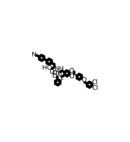 N#Cc1ccc(-c2ccc(CC(NC(=O)[C@@H]3Cc4cc5c(cc4CN3C(=O)c3ccccc3F)O[C@@H](c3ccc(OCc4ccc(Cl)c(Cl)c4)cc3)CO5)C(=O)O)cc2)cc1